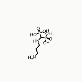 NCCCNC(P(=O)(O)O)P(=O)(O)O